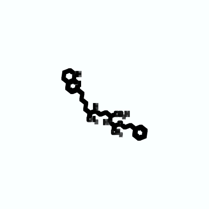 C=C(CCCCc1ccc2c(n1)NCCC2)NCCC(NC(=C)OCCc1ccccc1)C(=O)O